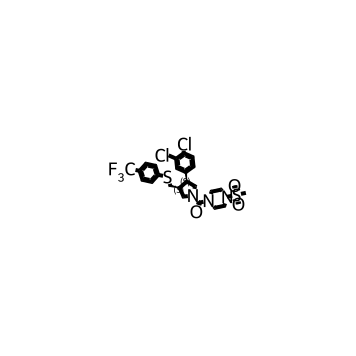 CS(=O)(=O)N1CCN(C(=O)N2C[C@@H](CSc3ccc(C(F)(F)F)cc3)[C@@H](c3ccc(Cl)c(Cl)c3)C2)CC1